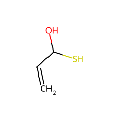 C=CC(O)S